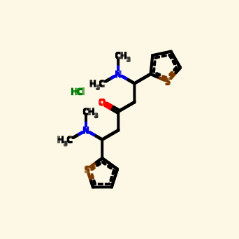 CN(C)C(CC(=O)CC(c1cccs1)N(C)C)c1cccs1.Cl